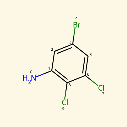 Nc1cc(Br)cc(Cl)c1Cl